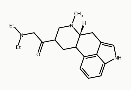 CCN(CC)CC(=O)C1CC2c3cccc4[nH]cc(c34)C[C@H]2N(C)C1